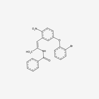 O=C(O)/C(=C/c1cc(Oc2ccccc2Br)ccc1[N+](=O)[O-])NC(=O)c1ccccc1